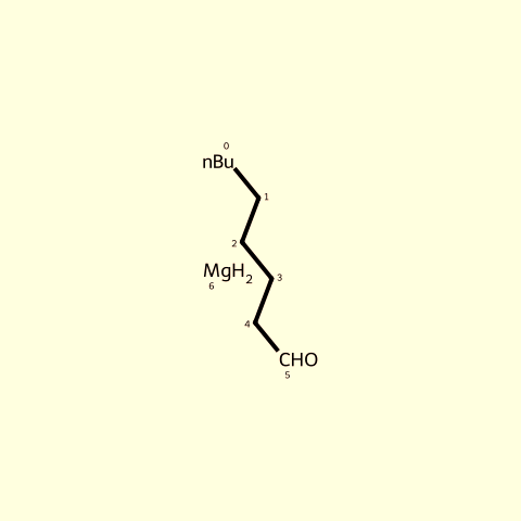 CCCCCCCCC=O.[MgH2]